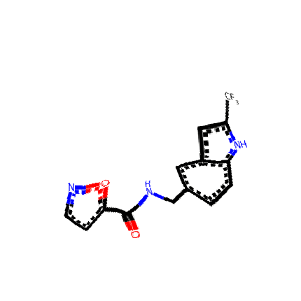 O=C(NCc1ccc2[nH]c(C(F)(F)F)cc2c1)c1ccno1